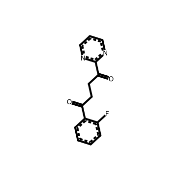 O=C(CCC(=O)c1ccccc1F)c1ncccn1